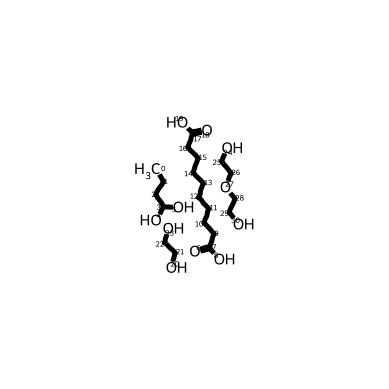 CCCC(O)O.O=C(O)CCCCCCCCC(=O)O.OCCO.OCCOCCO